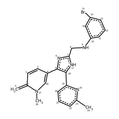 C=C1C=CC(c2nc(CNc3cccc(Br)c3)[nH]c2-c2cccc(C)n2)=CN1C